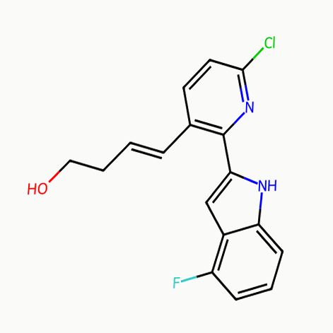 OCCC=Cc1ccc(Cl)nc1-c1cc2c(F)cccc2[nH]1